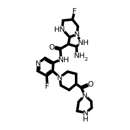 NC1NN2CC(F)CNC2C1C(=O)Nc1cncc(F)c1N1CCC(C(=O)N2CCNCC2)CC1